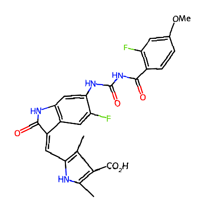 COc1ccc(C(=O)NC(=O)Nc2cc3c(cc2F)C(=Cc2[nH]c(C)c(C(=O)O)c2C)C(=O)N3)c(F)c1